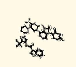 CN(C[C@H]1CC[C@H](n2cc(NC(=O)c3cnn4cccnc34)c(C(F)(F)F)n2)CC1)C1CCN(c2cccc3c2N(C)C(O)N3C2CCC(=O)NC2=O)CC1